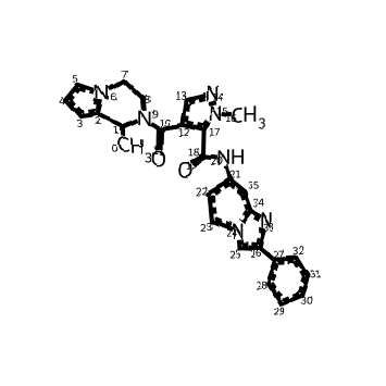 CC1c2cccn2CCN1C(=O)c1cnn(C)c1C(=O)Nc1ccn2cc(-c3ccccc3)nc2c1